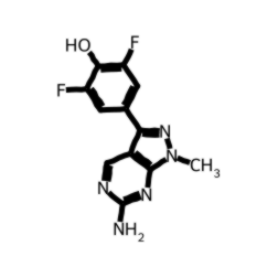 Cn1nc(-c2cc(F)c(O)c(F)c2)c2cnc(N)nc21